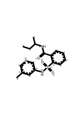 CCC(C)NC(=O)c1ccccc1S(=O)(=O)Nc1cncc(C)c1